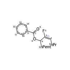 CCC/C=C(/F)C(CCCCC)OC(=O)c1ccccc1